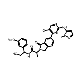 COc1cccc(C(CO)NC(=O)C(C)N2Cc3ccc(-c4nc(Nc5ccnn5C)ncc4Cl)cc3C2=O)c1